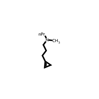 CCCN(C)CCCC1=CC1